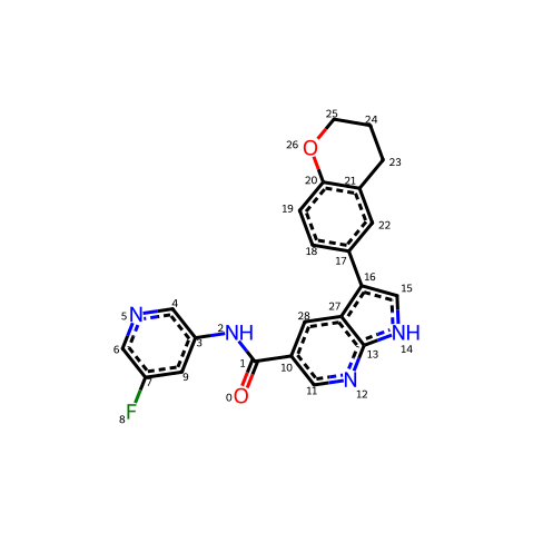 O=C(Nc1cncc(F)c1)c1cnc2[nH]cc(-c3ccc4c(c3)CCCO4)c2c1